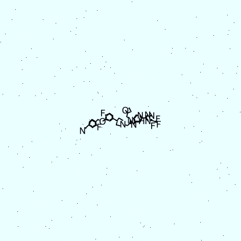 N#Cc1ccc(COc2cc(C3CCN(Cc4nc5cc(-c6nnc(C(F)(F)F)[nH]6)ncc5n4CC4CCO4)CC3)ccc2F)c(F)c1